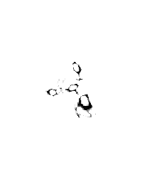 CC(C)(C)c1cc(-n2nc3ccccc3n2)c(O)c(C(C)(C)c2ccccc2)c1.c1ccc2[nH]nnc2c1